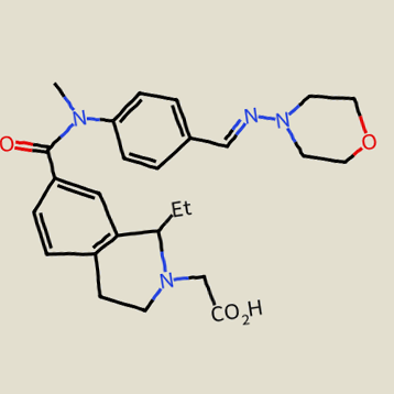 CCC1c2cc(C(=O)N(C)c3ccc(C=NN4CCOCC4)cc3)ccc2CCN1CC(=O)O